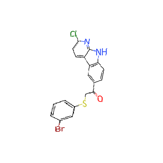 O=C(CSc1cccc(Br)c1)c1ccc2[nH]c3nc(Cl)ccc3c2c1